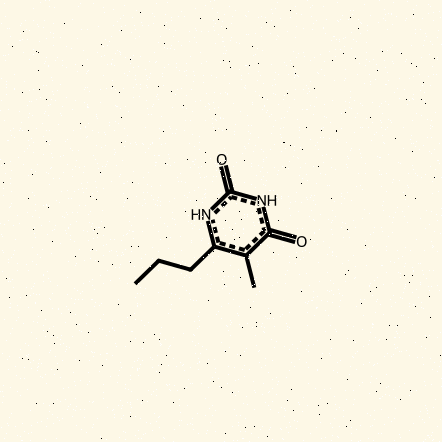 CCCc1[nH]c(=O)[nH]c(=O)c1C